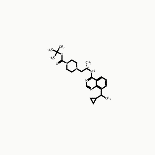 CC(c1cccc2c(N[C@@H](C)CN3CCN(C(=O)OC(C)(C)C)CC3)ncnc12)C1CC1